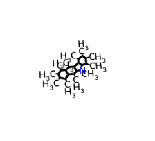 Cc1c(C)c(C)c2c(C)c3c(c(C)c2c1C)c1c(C)c(C)c(C)c(C)c1n3C